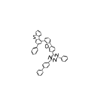 c1ccc(-c2ccc(-c3nc(-c4ccccc4)nc(-c4ccc5c(c4)oc4c(-c6cc(-c7ccccc7)cc7sc8ccccc8c67)cccc45)n3)cc2)cc1